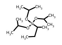 CCC(C)[Si](OC(C)C)(OC(C)C)OC(C)C